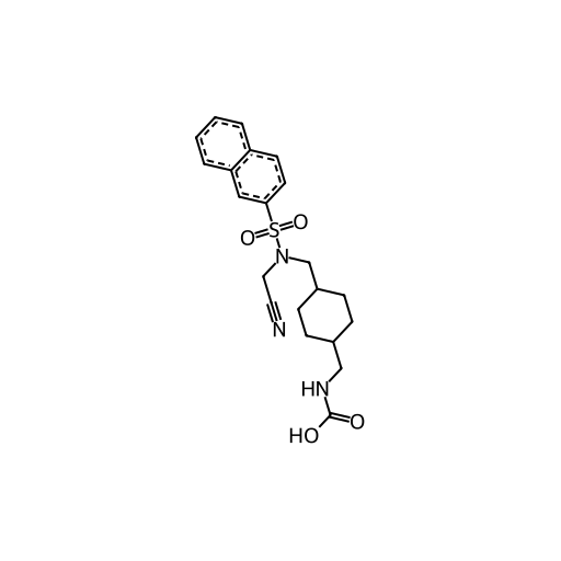 N#CCN(CC1CCC(CNC(=O)O)CC1)S(=O)(=O)c1ccc2ccccc2c1